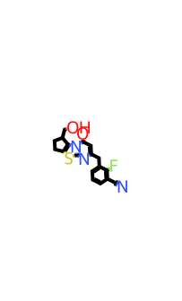 N#Cc1cccc(Cc2cc(=O)n3c4c(sc3n2)CCC4CO)c1F